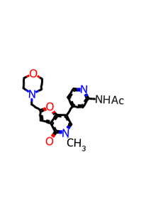 CC(=O)Nc1cc(-c2cn(C)c(=O)c3cc(CN4CCOCC4)oc23)ccn1